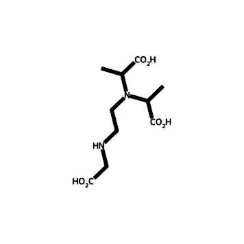 CC(C(=O)O)N(CCNCC(=O)O)C(C)C(=O)O